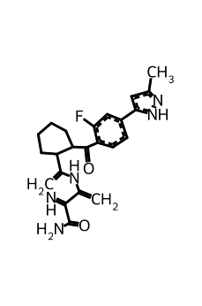 C=C(NC(=C)C1CCCCC1C(=O)c1ccc(-c2cc(C)n[nH]2)cc1F)C(=N)C(N)=O